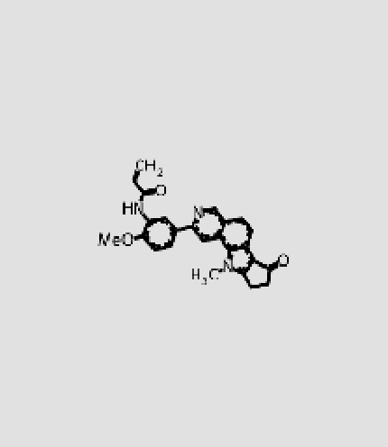 C=CC(=O)Nc1cc(-c2cc3c(ccc4c5c(n(C)c43)CCC5=O)cn2)ccc1OC